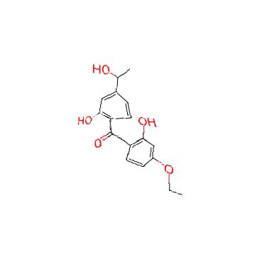 CCOc1ccc(C(=O)c2ccc(C(C)O)cc2O)c(O)c1